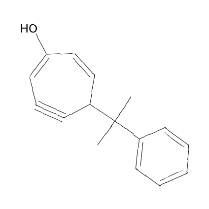 CC(C)(c1ccccc1)C1C#CC=C(O)C=C1